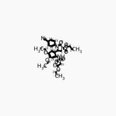 CCCS(=O)(=O)N1CC(c2cc(OCC)c(OCC)cc2NS(=O)(=O)CC(=O)OCC)N(c2ccc(C#N)cc2)C1=O